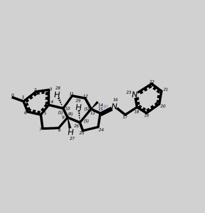 Cc1ccc2c(c1)CC[C@@H]1[C@@H]2CC[C@]2(C)/C(=N/Cc3ccccn3)CC[C@@H]12